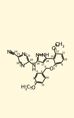 COc1ccc(COc2cccc(OC)c2-c2cc(Nc3cnc(C#N)cn3)n[nH]2)cc1